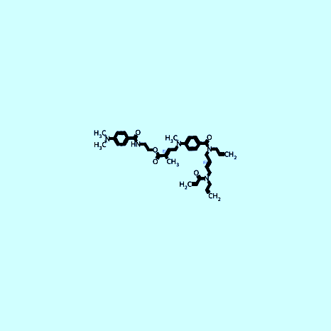 C=CCN(C/C=C/CN(CC=C)C(=O)c1ccc(N(C)C/C=C(\C)C(=O)OCCNC(=O)c2ccc(N(C)C)cc2)cc1)C(=O)C=C